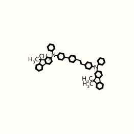 CC1(C)c2ccccc2-c2ccc(N(c3ccccc3)c3ccc(/C=C/c4ccc(-c5ccc(N(c6ccccc6)c6ccc7c(c6)C(C)(C)c6ccccc6-7)cc5)cc4)cc3)cc21